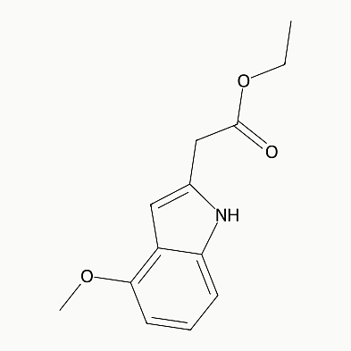 CCOC(=O)Cc1cc2c(OC)cccc2[nH]1